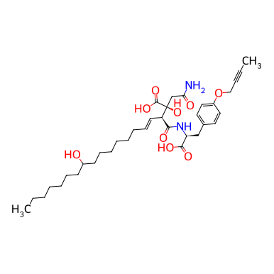 CC#CCOc1ccc(C[C@H](NC(=O)[C@@H](/C=C/CCCCCCC(O)CCCCCCC)[C@@](O)(CC(N)=O)C(=O)O)C(=O)O)cc1